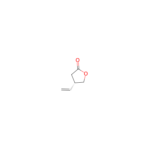 C=C[C@H]1COC(=O)C1